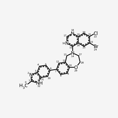 Cc1nc2ccc(-c3ccc4c(c3)CN(c3ncnc5cc(Cl)c(Br)cc35)CCO4)cc2[nH]1